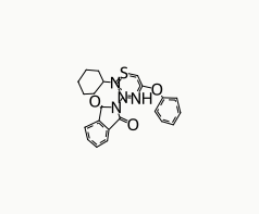 O=C1c2ccccc2C(=O)N1n1[nH]c(Oc2ccccc2)csn1C1CCCCC1